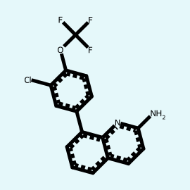 Nc1ccc2cccc(-c3ccc(OC(F)(F)F)c(Cl)c3)c2n1